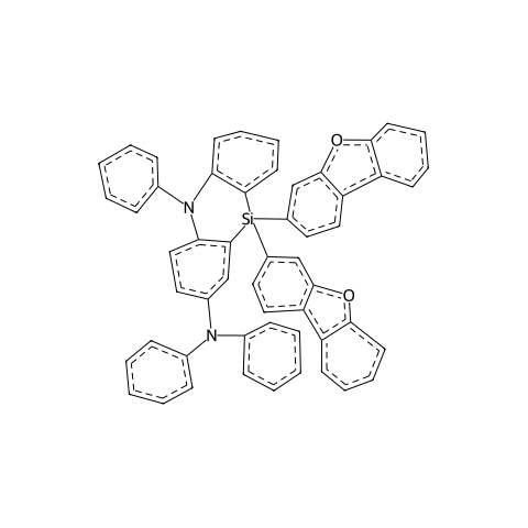 c1ccc(N(c2ccccc2)c2ccc3c(c2)[Si](c2ccc4c(c2)oc2ccccc24)(c2ccc4c(c2)oc2ccccc24)c2ccccc2N3c2ccccc2)cc1